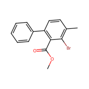 COC(=O)c1c(-c2ccccc2)ccc(C)c1Br